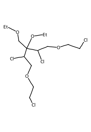 CCOCC(OCC)(C(Cl)COCCCl)C(Cl)COCCCl